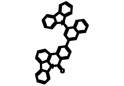 O=c1c2ccc(-c3cc(-n4c5ccccc5c5ccccc54)c4ccccc4c3)cc2c2cccc3c4ccccc4n1c23